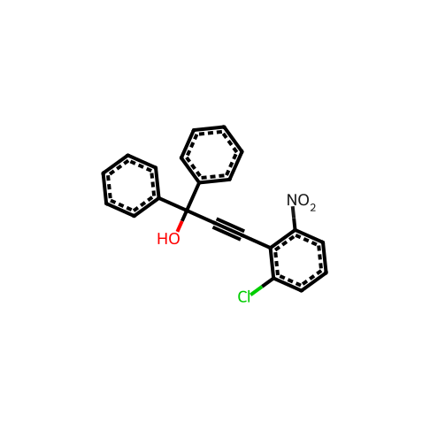 O=[N+]([O-])c1cccc(Cl)c1C#CC(O)(c1ccccc1)c1ccccc1